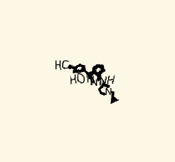 C#Cc1ccc(-c2nnc(N[C@@H]3CCCN(CC4CC4)C3)c3ccccc23)c(O)c1